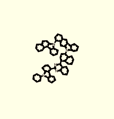 c1ccc(-n2c3ccccc3c3c(-c4nc(-c5ccc(-n6c7ccccc7c7cc8cccc(-n9c%10ccccc%10c%10c%11ccccc%11ccc%109)c8cc76)c6ccccc56)c5ccccc5n4)cccc32)cc1